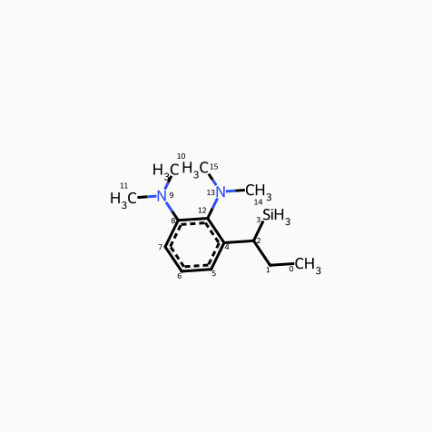 CCC([SiH3])c1cccc(N(C)C)c1N(C)C